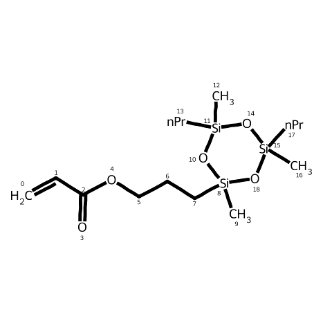 C=CC(=O)OCCC[Si]1(C)O[Si](C)(CCC)O[Si](C)(CCC)O1